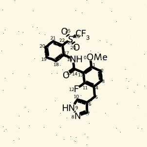 COc1ccc(Cc2cn[nH]c2)c(F)c1C(=O)Nc1cc[c]cc1S(=O)(=O)C(F)(F)F